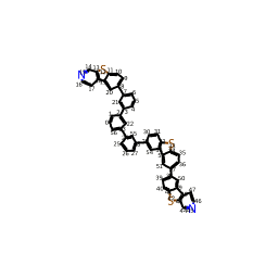 c1cc(-c2cccc(-c3ccc4sc5cnccc5c4c3)c2)cc(-c2cccc(-c3ccc4sc5ccc(-c6ccc7sc8cnccc8c7c6)cc5c4c3)c2)c1